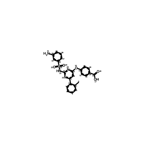 Cc1ccccc1-c1cc(Oc2ccc(C(=O)O)cc2)nc(NS(=O)(=O)c2cccc(N)c2)n1